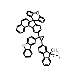 CC1(C)c2ccccc2-c2ccc(C3CC3(c3ccc4c(c3)-c3c(ccc5ccccc35)C43c4ccccc4Oc4ccccc43)c3ccc4oc5ccccc5c4c3)cc21